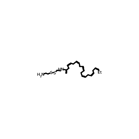 C=C(C/C=C\C/C=C\C/C=C\C/C=C\C/C=C\C/C=C\CC)NCCSSCCN